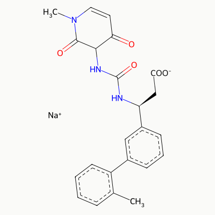 Cc1ccccc1-c1cccc([C@H](CC(=O)[O-])NC(=O)NC2C(=O)C=CN(C)C2=O)c1.[Na+]